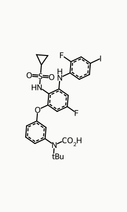 CC(C)(C)N(C(=O)O)c1cccc(Oc2cc(F)cc(Nc3ccc(I)cc3F)c2NS(=O)(=O)C2CC2)c1